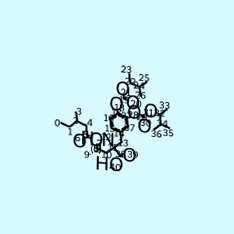 CCC(C)CC(=O)O[C@@H](C)CC(N)(Cc1ccc(OC(=O)OC(C)C(C)C)c(OC(=O)OC(C)C(C)C)c1)C(=O)O